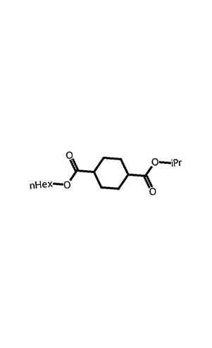 CCCCCCOC(=O)C1CCC(C(=O)OC(C)C)CC1